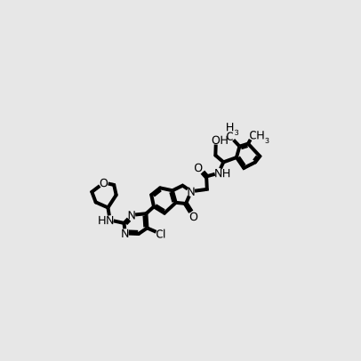 Cc1cccc(C(CO)NC(=O)CN2Cc3ccc(-c4nc(NC5CCOCC5)ncc4Cl)cc3C2=O)c1C